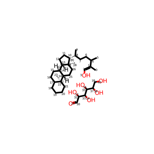 CC(=CO)C(C)CCC(C)[C@H]1CC[C@H]2[C@@H]3CCC4CCCC[C@]4(C)[C@H]3CC[C@]12C.O=CC(O)C(O)C(O)C(O)CO